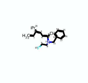 C=C/C(=C\C=C(/C)N(CCF)Cc1ccccc1)C(C)C